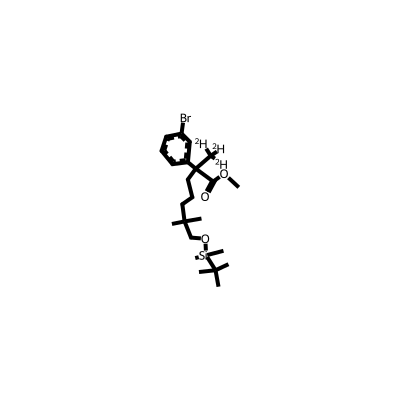 [2H]C([2H])([2H])C(CCCC(C)(C)CO[Si](C)(C)C(C)(C)C)(C(=O)OC)c1cccc(Br)c1